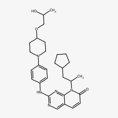 CC(O)COC1CCN(c2ccc(Nc3ncc4ccc(=O)n(C(C)CC5CCCC5)c4n3)cc2)CC1